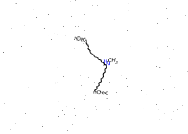 CCCCCCCCCCCCCCCCCCCCCCc1cc(CCCCCCCCCCCCCCCCCCCCCC)nc(C)n1